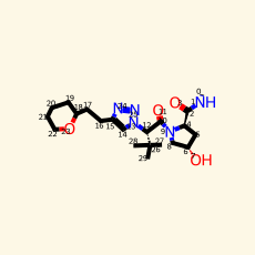 CNC(=O)[C@H]1C[C@H](O)CN1C(=O)[C@@H](n1cc(CCC2CCCCO2)nn1)C(C)(C)C